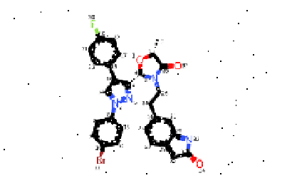 C[C@H]1O[C@@H](c2nn(-c3ccc(Br)cc3)cc2-c2ccc(F)cc2)N(CCc2ccc3c(c2)=NC(=O)C=3)C1=O